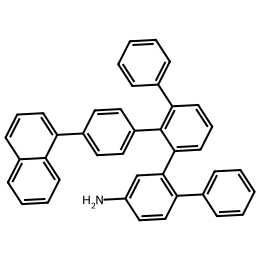 Nc1ccc(-c2ccccc2)c(-c2cccc(-c3ccccc3)c2-c2ccc(-c3cccc4ccccc34)cc2)c1